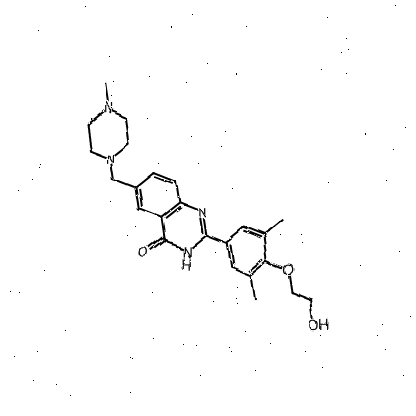 Cc1cc(-c2nc3ccc(CN4CCN(C)CC4)cc3c(=O)[nH]2)cc(C)c1OCCO